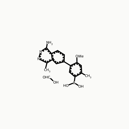 COc1cc(C)c(B(O)O)cc1-c1ccc2c(N)nnc(C)c2c1.O=CO